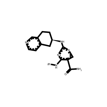 CC(C)Nc1nc(N[C@@H]2CCc3cnccc3C2)ncc1C(N)=O